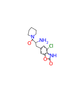 NC(Cc1cc(Cl)c2[nH]c(=O)oc2c1)C(=O)N1CCCCC1